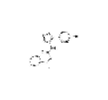 C[C@@H](OC(=O)Nc1oncc1-c1ccc(Br)cc1)c1ccccc1